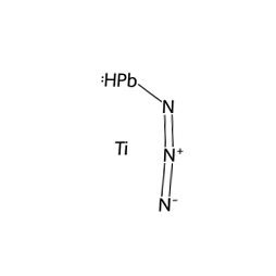 [N-]=[N+]=[N][PbH].[Ti]